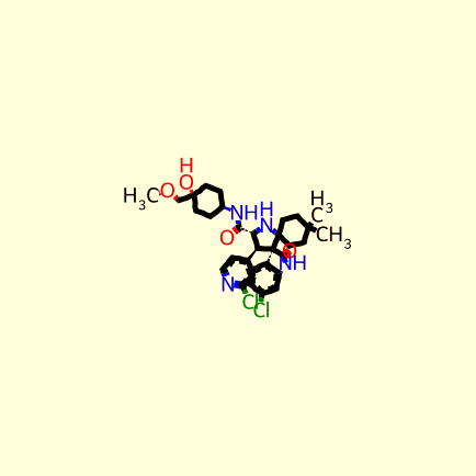 COC[C@]1(O)CC[C@@H](NC(=O)[C@@H]2NC3(CCC(C)(C)CC3)[C@@]3(C(=O)Nc4cc(Cl)ccc43)[C@H]2c2ccnc(Cl)c2)CC1